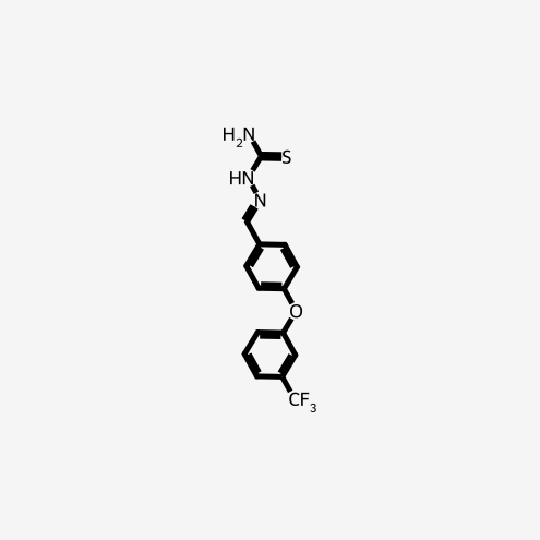 NC(=S)NN=Cc1ccc(Oc2cccc(C(F)(F)F)c2)cc1